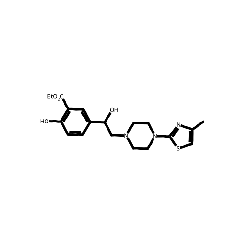 CCOC(=O)c1cc(C(O)CN2CCN(c3nc(C)cs3)CC2)ccc1O